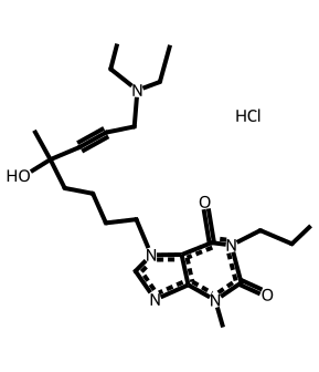 CCCn1c(=O)c2c(ncn2CCCCC(C)(O)C#CCN(CC)CC)n(C)c1=O.Cl